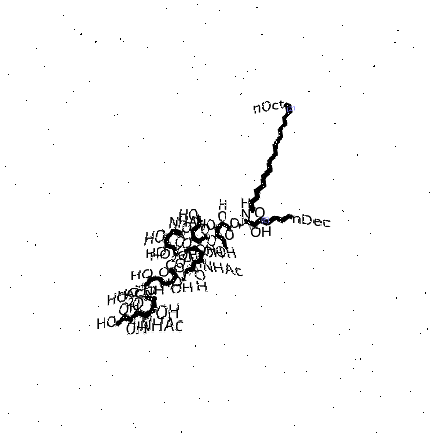 CCCCCCCC/C=C\CCCCCCCCCCCCCC(=O)N[C@@H](CO[C@@H]1OC(CO)[C@@H](O[C@@H]2OC(CO)[C@H](O[C@@H]3OC(CO)[C@H](O)[C@H](O)C3NC(C)=O)[C@H](O[C@]3(C(=O)O)CC(O)[C@@H](NC(C)=O)C([C@H](O)[C@@H](CO)O[C@]4(C(=O)O)CC(O)[C@@H](NC(C)=O)C([C@H](O)[C@@H](CO)O[C@]5(C(=O)O)CC(O)[C@@H](NC(C)=O)C([C@H](O)[C@H](O)CO)O5)O4)O3)C2O)[C@H](O)C1O)[C@H](O)/C=C/CCCCCCCCCCCCC